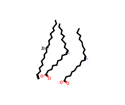 C=CCCCCCCCCCCCCCCCC.CCCCCCCC/C=C\CCCCCCCC(=O)[O-].CCCCCCCC/C=C\CCCCCCCC(=O)[O-].[Zn+2]